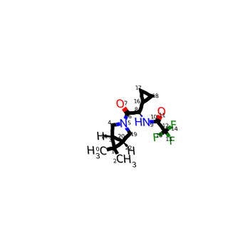 CC1(C)[C@@H]2CN(C(=O)[C@@H](NC(=O)C(F)(F)F)C3CC3)C[C@@H]21